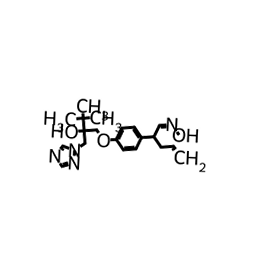 C=CCC(/C=N\O)c1ccc(OCC(O)(Cn2cncn2)C(C)(C)C)cc1